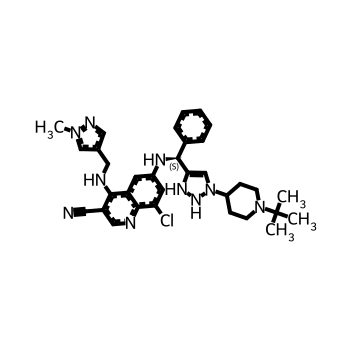 Cn1cc(CNc2c(C#N)cnc3c(Cl)cc(N[C@H](C4=CN(C5CCN(C(C)(C)C)CC5)NN4)c4ccccc4)cc23)cn1